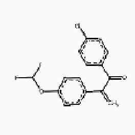 C=C(C(=O)c1ccc(Cl)cc1)c1ccc(OC(F)F)cc1